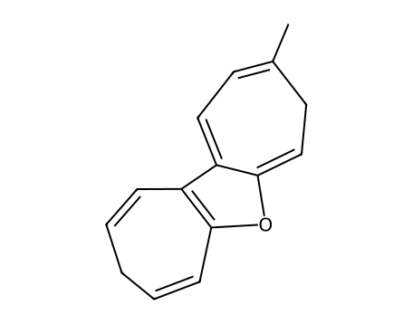 CC1=CC=c2c3c(oc2=CC1)C=CCC=C3